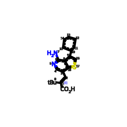 CC(C)(C)/C(=C\c1cnc(N)c2c(-c3ccccc3)csc12)C(=O)O